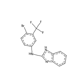 FC(F)(F)c1cc(Nc2nc3ccccc3[nH]2)ccc1Br